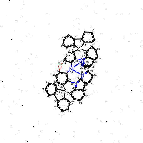 c1ccc2c(c1)-c1ccccc1[Si]21c2ccc3c4c2-n2c5c1cccc5c1ccc[n+](c12)[N+]41c2c(ccc4c2-n2c5c(cccc5c5ccc[n+]1c52)[Si]41c2ccccc2-c2ccccc21)O3